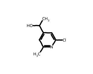 Cc1cc(C(C)O)cc(Cl)n1